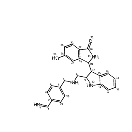 N=Cc1ccc(CNCC2Nc3ccccc3C2C2NC(=O)c3ccc(O)cc32)cc1